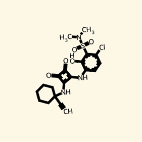 C#CC1(Nc2c(Nc3ccc(Cl)c(S(=O)(=O)N(C)C)c3O)c(=O)c2=O)CCCCC1